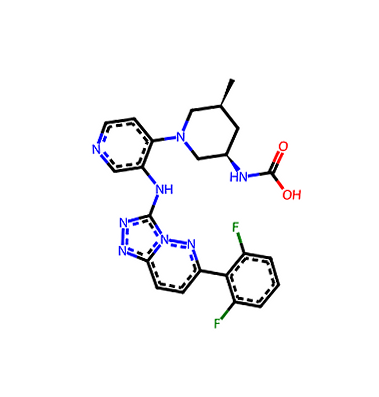 C[C@H]1C[C@@H](NC(=O)O)CN(c2ccncc2Nc2nnc3ccc(-c4c(F)cccc4F)nn23)C1